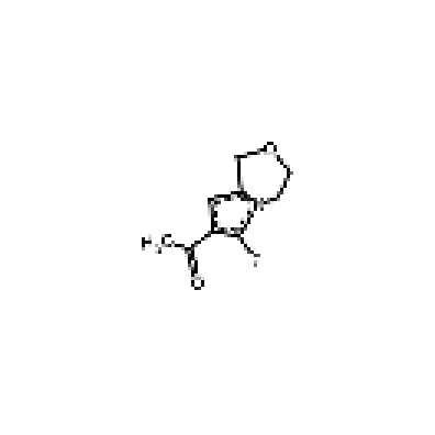 CC(=O)c1cc2n(c1F)CCOC2